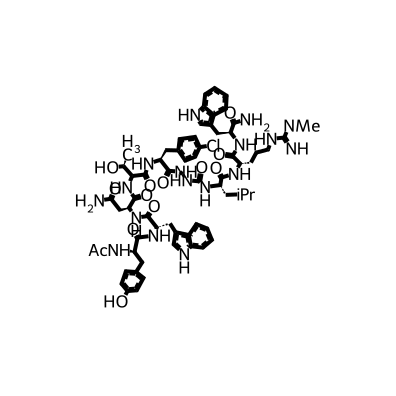 CNC(=N)NCCC[C@H](NC(=O)[C@H](CC(C)C)NC(=O)NNC(=O)[C@H](Cc1ccc(Cl)cc1)NC(=O)C(NC(=O)[C@H](CC(N)=O)NC(=O)[C@H](Cc1c[nH]c2ccccc12)NC(=O)[C@@H](Cc1ccc(O)cc1)NC(C)=O)[C@@H](C)O)C(=O)N[C@@H](Cc1c[nH]c2ccccc12)C(N)=O